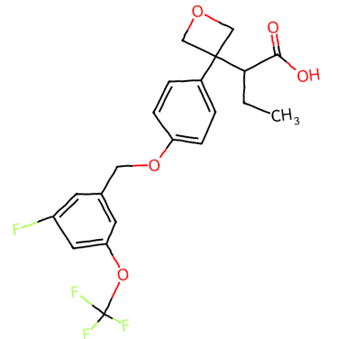 CCC(C(=O)O)C1(c2ccc(OCc3cc(F)cc(OC(F)(F)F)c3)cc2)COC1